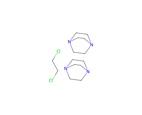 C1CN2CCN1CC2.C1CN2CCN1CC2.ClCCCl